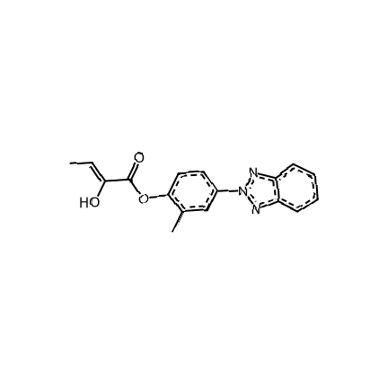 CC=C(O)C(=O)Oc1ccc(-n2nc3ccccc3n2)cc1C